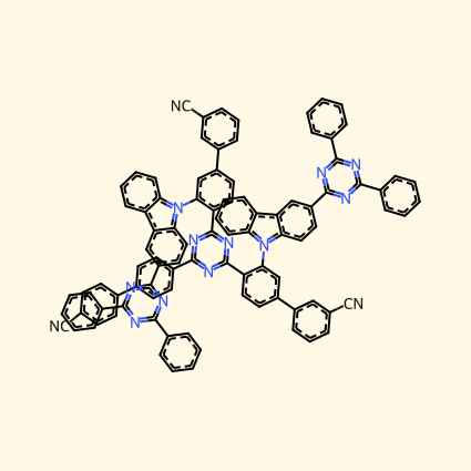 N#Cc1ccc(-c2ccc(-c3nc(-c4ccc(-c5cccc(C#N)c5)cc4-n4c5ccccc5c5cc(-c6nc(-c7ccccc7)nc(-c7ccccc7)n6)ccc54)nc(-c4ccc(-c5cccc(C#N)c5)cc4-n4c5ccccc5c5cc(-c6nc(-c7ccccc7)nc(-c7ccccc7)n6)ccc54)n3)cc2)cc1